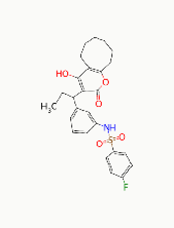 CCC(c1cccc(NS(=O)(=O)c2ccc(F)cc2)c1)c1c(O)c2c(oc1=O)CCCCCC2